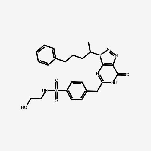 CC(CCCc1ccccc1)n1nnc2c(=O)[nH]c(Cc3ccc(S(=O)(=O)NCCO)cc3)nc21